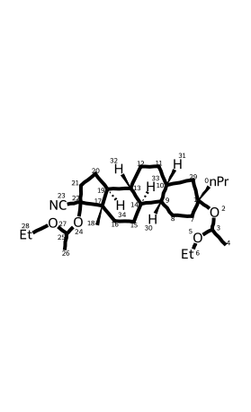 CCC[C@@]1(OC(C)OCC)CC[C@H]2[C@H](CC[C@@H]3[C@@H]2CC[C@@]2(C)[C@H]3CCC2(C#N)OC(C)OCC)C1